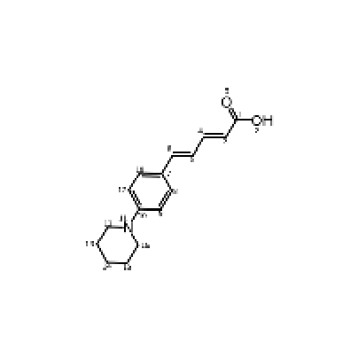 O=C(O)C=CC=Cc1ccc(N2CCCCC2)cc1